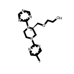 OCCOC[C@H]1CN(c2ncc(I)cn2)CCN1c1ncncn1